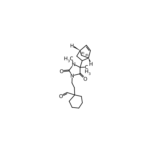 CN1C(=O)N(CCC2(C=O)CCCCC2)C(=O)C1(C)C1C[C@@H]2C=C[C@H]1C2